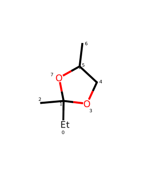 CCC1(C)OC[C](C)O1